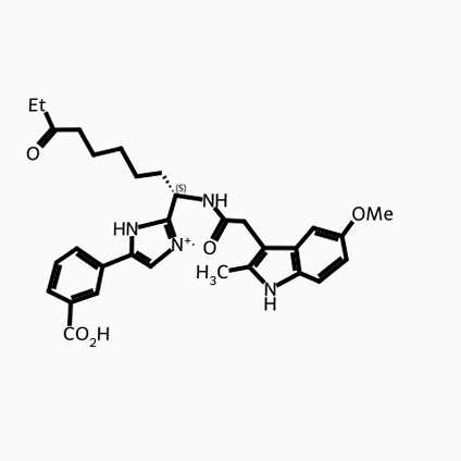 CCC(=O)CCCCC[C@H](NC(=O)Cc1c(C)[nH]c2ccc(OC)cc12)C1=[N+]C=C(c2cccc(C(=O)O)c2)N1